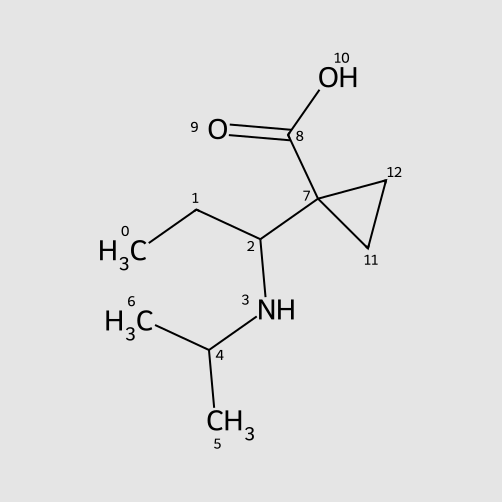 CCC(NC(C)C)C1(C(=O)O)CC1